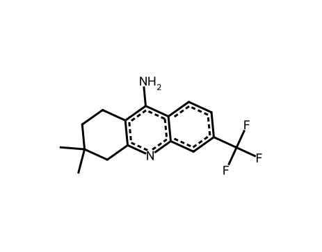 CC1(C)CCc2c(nc3cc(C(F)(F)F)ccc3c2N)C1